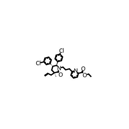 C=CC[C@@]1(C)C[C@H](c2cccc(Cl)c2)[C@@H](c2ccc(Cl)cc2)N(CCCc2cccc(C(=O)OCC)n2)C1=O